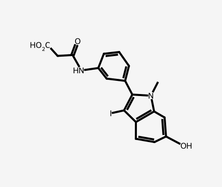 Cn1c(-c2cccc(NC(=O)CC(=O)O)c2)c(I)c2ccc(O)cc21